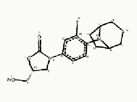 O=C1O[C@@H](CO)CN1c1ccc(N2C3CCC2CSC3)c(F)c1